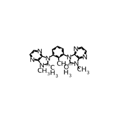 Cc1c(N2c3nccnc3N(C)[C@H]2C)cccc1N1c2nccnc2N(C)[C@@H]1C